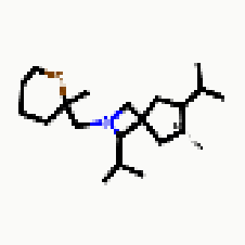 CC(C)C1CC2(C[C@H]1C)CN(CC1(C)CCCCS1)C2C(C)C